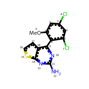 COc1cc(Cl)cc(Cl)c1-c1nc(N)nc2sccc12